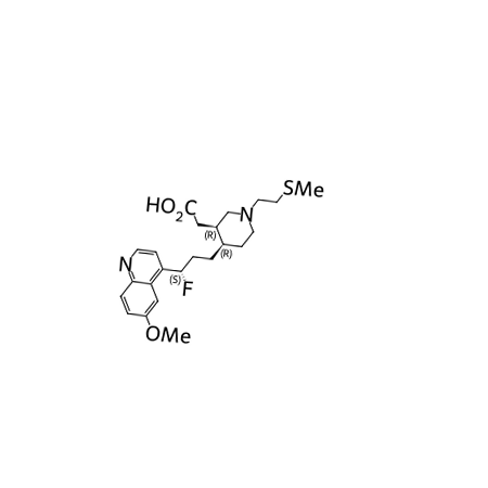 COc1ccc2nccc([C@@H](F)CC[C@@H]3CCN(CCSC)C[C@@H]3CC(=O)O)c2c1